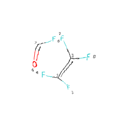 FC(F)=C(F)F.O=CF